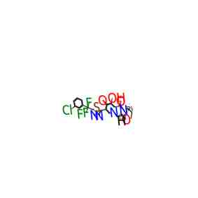 C[C@@H]1CCO[C@H]2Cn3cc(-c4nnc(C(F)(F)c5cccc(Cl)c5F)s4)c(=O)c(O)c3C(=O)N12